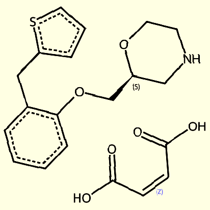 O=C(O)/C=C\C(=O)O.c1csc(Cc2ccccc2OC[C@@H]2CNCCO2)c1